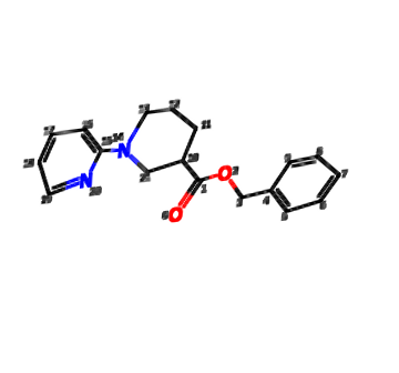 O=C(OCc1ccccc1)C1CCCN(c2ccccn2)C1